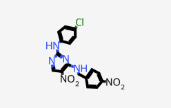 O=[N+]([O-])c1ccc(CNc2nc(Nc3ccc(Cl)cc3)ncc2[N+](=O)[O-])cc1